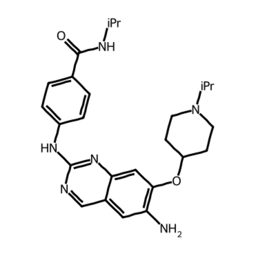 CC(C)NC(=O)c1ccc(Nc2ncc3cc(N)c(OC4CCN(C(C)C)CC4)cc3n2)cc1